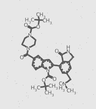 CN(C)Cc1cc2c(c(-c3cc4cc(C(=O)N5CCN(C(=O)OC(C)(C)C)CC5)ccc4n3C(=O)OC(C)(C)C)c1)C(=O)NC2